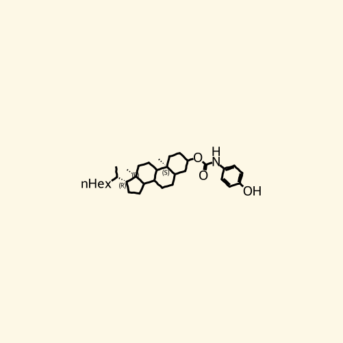 CCCCCCC(C)[C@H]1CCC2C3CCC4CC(OC(=O)Nc5ccc(O)cc5)CC[C@]4(C)C3CC[C@@]21C